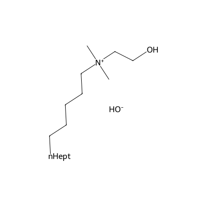 CCCCCCCCCCCC[N+](C)(C)CCO.[OH-]